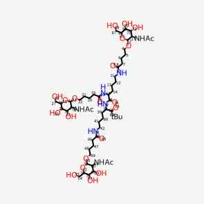 CC(=O)NC1C(OCCCCC(=O)NCCCCC(NC(=O)CCCCOC2OC(CO)C(O)C(O)C2NC(C)=O)C(=O)NC(CCCCNC(=O)CCCCOC2OC(CO)C(O)C(O)C2NC(C)=O)C(=O)C(C)(C)C)OC(CO)C(O)C1O